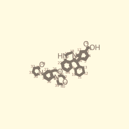 O=C(O)c1ccc2c(C3CCCCC3)c3n(c2c1)CCNc1cc(OCc2cc(N4CCCC4=O)ccc2N2CCOCC2)ccc1-3